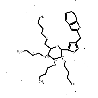 CCCCOCC1OC(c2cc(Cc3cc4c(s3)CCC=C4)cs2)[C@H](OCCCC)[C@@H](OCCCC)[C@@H]1OCCCC